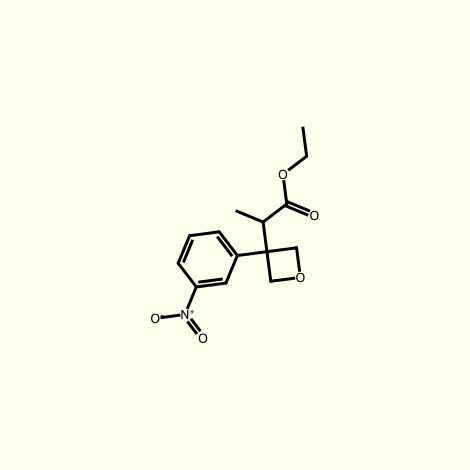 CCOC(=O)C(C)C1(c2cccc([N+](=O)[O-])c2)COC1